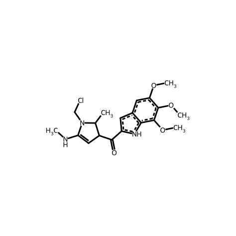 CNC1=CC(C(=O)c2cc3cc(OC)c(OC)c(OC)c3[nH]2)C(C)N1CCl